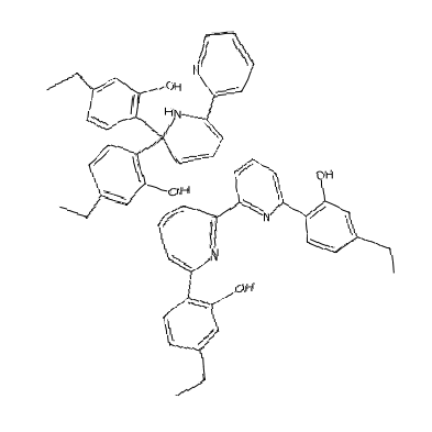 CCc1ccc(-c2cccc(-c3cccc(-c4ccc(CC)cc4O)n3)n2)c(O)c1.CCc1ccc(C2(c3ccc(CC)cc3O)C=CC=C(c3ccccn3)N2)c(O)c1